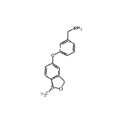 CB1OCc2cc(Oc3cccc(CN)c3)ccc21